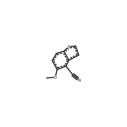 COc1ccc2sccc2c1C#N